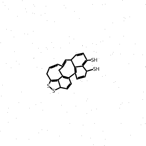 SC1=C2C3=C(C=CC2S)C2=C4CC(=C/C3C=C1)/C=C\CC1=C4C(C=C2)SS1